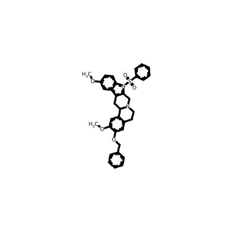 COc1ccc2c(c1)c1c(n2S(=O)(=O)c2ccccc2)CN2CCc3cc(OCc4ccccc4)c(OC)cc3C2C1